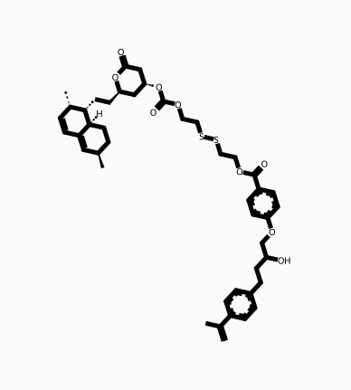 C=C(C)c1ccc(CCC(O)COc2ccc(C(=O)OCCSSCCOC(=O)O[C@H]3CC(=O)O[C@H](CC[C@H]4[C@@H](C)C=CC5=C[C@H](C)CC[C@@H]54)C3)cc2)cc1